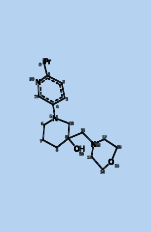 CC(C)c1ccc(N2CCCC(O)(CN3CCOCC3)C2)cn1